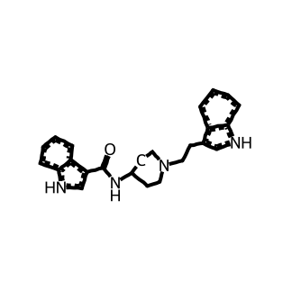 O=C(NC1CCN(CCc2c[nH]c3ccccc23)CC1)c1c[nH]c2ccccc12